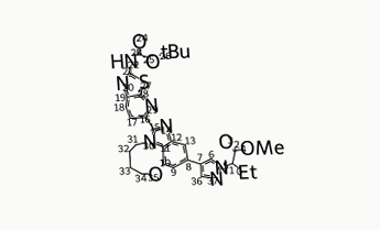 CCC(C(=O)OC)n1cc(-c2cc3c4c(c2)nc(-c2ccc5nc(NC(=O)OC(C)(C)C)sc5n2)n4CCCCO3)cn1